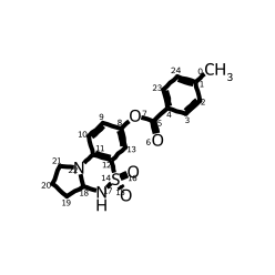 Cc1ccc(C(=O)Oc2ccc3c(c2)S(=O)(=O)NC2CCCN32)cc1